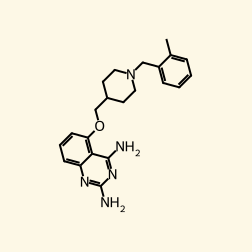 Cc1ccccc1CN1CCC(COc2cccc3nc(N)nc(N)c23)CC1